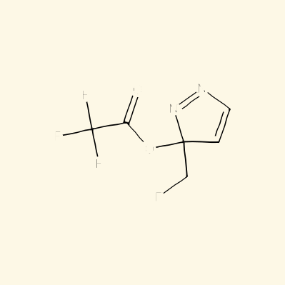 O=C(OC1(CF)C=CN=N1)C(F)(F)F